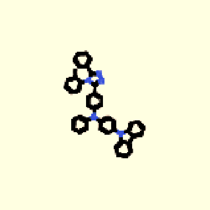 Cc1ccccc1-n1c(-c2ccccc2)nnc1-c1ccc(N(c2ccccc2)c2ccc(-n3c4ccccc4c4ccccc43)cc2)cc1